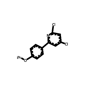 CC(C)Oc1ccc(-c2cc(Cl)cc(Cl)n2)cc1